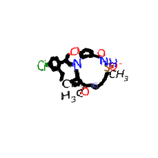 CCCc1cc(Cl)ccc1C1COc2ccc3cc2N(C1)CC1CCC1C(OC)/C=C/CCC(C)[S+]([O-])NC3=O